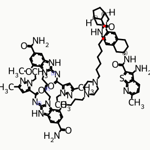 CCn1nc(C)cc1C(=O)/N=c1/[nH]c2cc(C(N)=O)cc(OC)c2n1C/C=C/Cn1/c(=N\C(=O)c2cc(C)nn2CC)[nH]c2cc(C(N)=O)cc(OCCCN3CCN(CCCCCCCNC(=O)C4[C@@H]5CC[C@H]4CN(c4ccc6c(c4)CC[C@H](NC(=O)c4sc7nc(C)ccc7c4N)C6)C5)CC3)c21